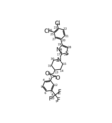 O=S(=O)(c1cccc(C(F)(F)F)c1)C1CCN(c2nc(-c3ccc(Cl)c(Cl)c3)cs2)CC1